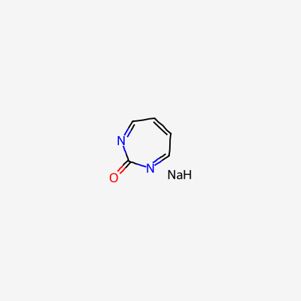 O=c1nccccn1.[NaH]